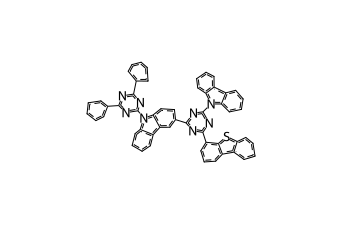 c1ccc(-c2nc(-c3ccccc3)nc(-n3c4ccccc4c4cc(-c5nc(-c6cccc7c6sc6ccccc67)nc(-n6c7ccccc7c7ccccc76)n5)ccc43)n2)cc1